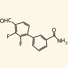 NC(=O)c1cccc(-c2ccc(C=O)c(F)c2F)c1